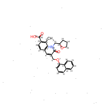 Cc1cc(C=C(COc2cccc3ccccc23)C(=O)NCC2CCCO2)ccc1C(=O)O